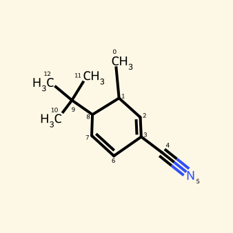 CC1C=C(C#N)C=CC1C(C)(C)C